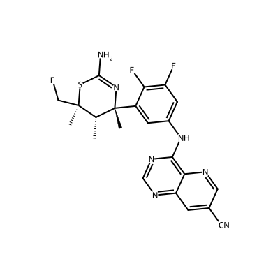 C[C@@H]1[C@@](C)(CF)SC(N)=N[C@]1(C)c1cc(Nc2ncnc3cc(C#N)cnc23)cc(F)c1F